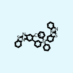 Cc1cc2nc3sc4ccccc4n3c2cc1-c1cccc([Si](c2ccccc2)(c2ccccc2)c2ccc3sc4nc5ccccc5n4c3c2)c1